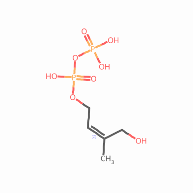 C/C(=C/COP(=O)(O)OP(=O)(O)O)CO